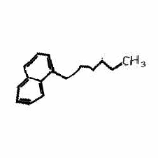 CC[CH]CCCc1cccc2ccccc12